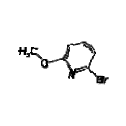 [CH2]Oc1cccc(Br)n1